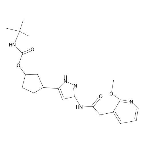 COc1ncccc1CC(=O)Nc1cc(C2CCC(OC(=O)NC(C)(C)C)C2)[nH]n1